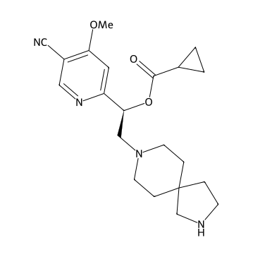 COc1cc([C@H](CN2CCC3(CCNC3)CC2)OC(=O)C2CC2)ncc1C#N